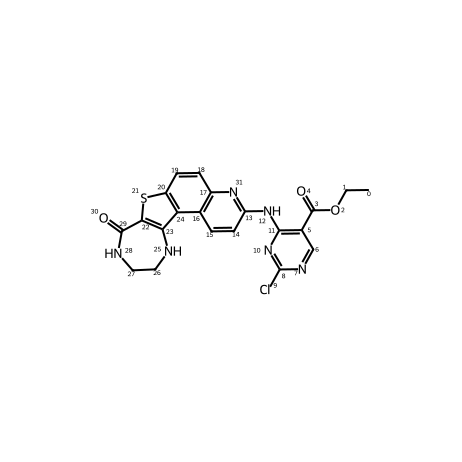 CCOC(=O)c1cnc(Cl)nc1Nc1ccc2c(ccc3sc4c(c32)NCCNC4=O)n1